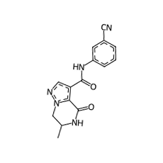 CC1Cn2ncc(C(=O)Nc3cccc(C#N)c3)c2C(=O)N1